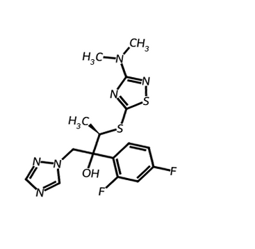 C[C@@H](Sc1nc(N(C)C)ns1)C(O)(Cn1cncn1)c1ccc(F)cc1F